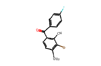 COc1ccc(C(=O)c2ccc(F)cc2)c(C#N)c1Br